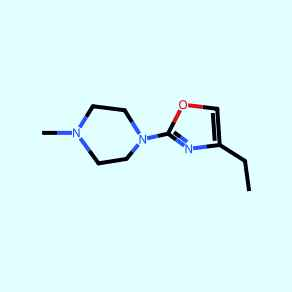 CCc1coc(N2CCN(C)CC2)n1